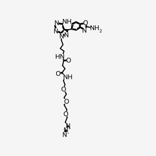 [N-]=[N+]=NCCOCCOCCOCCNC(=O)CCC(=O)NCCCCn1nc(-c2ccc3oc(N)nc3c2)c2c(N)ncnc21